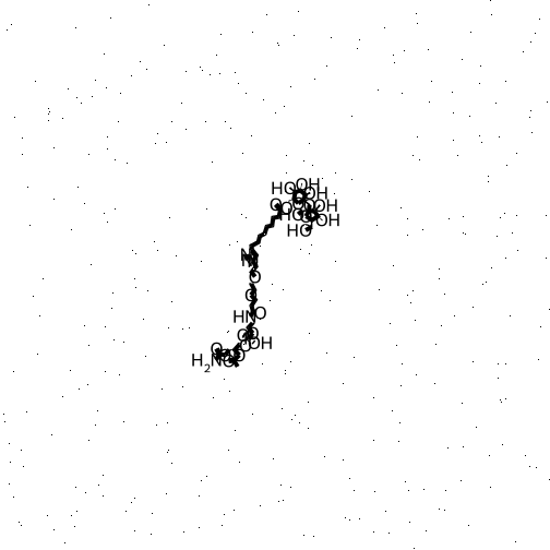 CC(=O)O[C@H](COC(N)=O)COP(=O)(O)OCCNC(=O)CCOCCOCCn1cc(CCCCCCCCC(=O)OC[C@H]2O[C@H](O[C@]3(CO)O[C@H](CO)[C@@H](O)[C@@H]3O)[C@H](O)[C@@H](O)[C@@H]2O)nn1